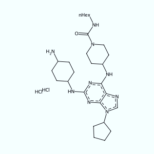 CCCCCCNC(=O)N1CCC(Nc2nc(NC3CCC(N)CC3)nc3c2ncn3C2CCCC2)CC1.Cl.Cl